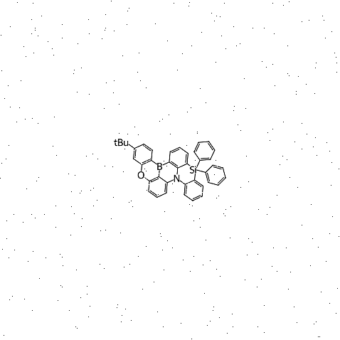 CC(C)(C)c1ccc2c(c1)Oc1cccc3c1B2c1cccc2c1N3c1ccccc1[Si]2(c1ccccc1)c1ccccc1